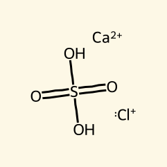 O=S(=O)(O)O.[Ca+2].[Cl+]